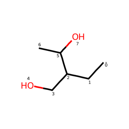 [CH2]CC(CO)C(C)O